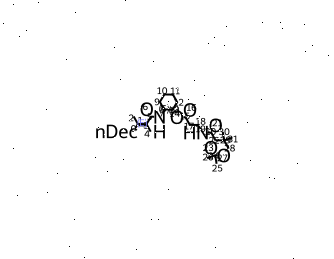 CCCCCCCCCC/C(C)=C(\C)C(=O)N[C@H]1CCCC[C@@H]1OC(=O)CCNC(=O)C1OC(C)(C)OCC1(C)C